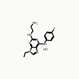 CCn1cnc2c(Nc3ccc(F)cc3)nc(NCCN)nc21.Cl